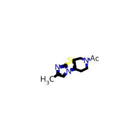 CC(=O)N1CCc2c(sc3nc(C)cn23)C1